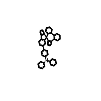 c1ccc(N(c2ccccc2)c2ccc(-c3ccc4c(c3)C3(c5ccccc5-c5ccccc5-c5ccccc53)c3ccccc3-4)cc2)cc1